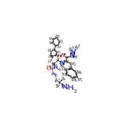 CN(C(=O)/C=C/CC(C)(C)N)[C@H](Cc1ccc(-c2ccccc2)cc1)C(=O)N(C)[C@H](Cc1ccccc1)C(=O)N(C)N(C)C